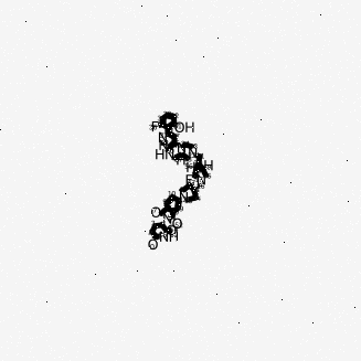 O=C1CCC(N2C(=O)c3ccc(N4CC[C@H](CN5C[C@@H]6C(CN7CCN8c9cc(-c%10c(O)cccc%10F)nnc9NC[C@H]8C7)[C@@H]6C5)[C@@H](F)C4)cc3C2=O)C(=O)N1